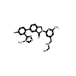 Cc1cc(CNCC(C)C)cc(N2Cc3ccc(-c4ccc(F)cc4-c4nncn4C)cc3C2=O)n1